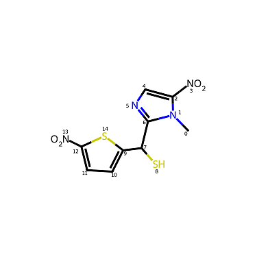 Cn1c([N+](=O)[O-])cnc1C(S)c1ccc([N+](=O)[O-])s1